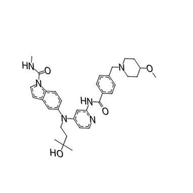 CNC(=O)n1ccc2cc(N(CCC(C)(C)O)c3ccnc(NC(=O)c4ccc(CN5CCC(OC)CC5)cc4)c3)ccc21